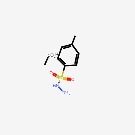 CC(=O)O.Cc1ccc(S(=O)(=O)NN)cc1